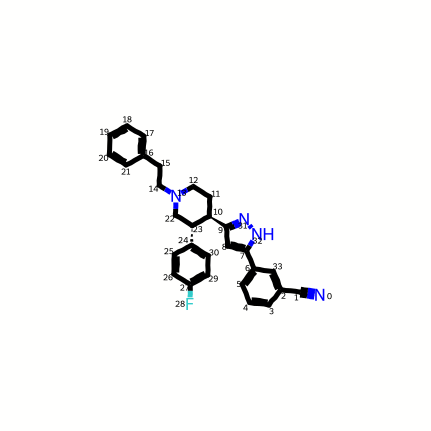 N#Cc1cccc(-c2cc([C@@H]3CCN(CCc4ccccc4)C[C@H]3c3ccc(F)cc3)n[nH]2)c1